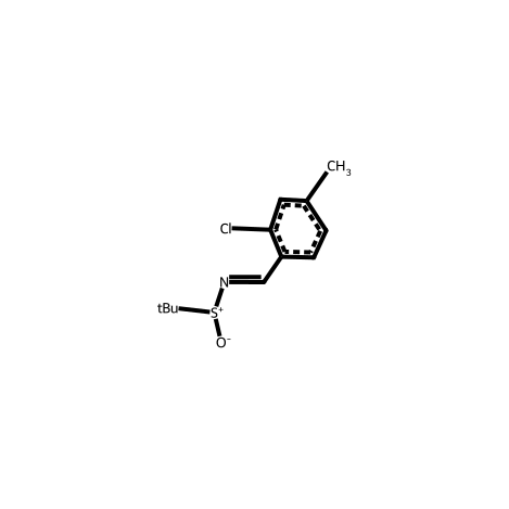 Cc1ccc(C=N[S+]([O-])C(C)(C)C)c(Cl)c1